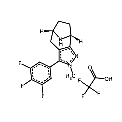 Cn1nc2c(c1-c1cc(F)c(F)c(F)c1)C[C@@H]1CC[C@H]2N1.O=C(O)C(F)(F)F